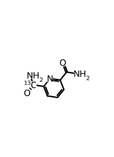 NC(=O)c1cccc([13C](N)=O)n1